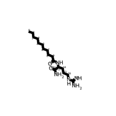 CCCCCCCCCCC(=O)NC(CCCNC(=N)N)C(N)=O